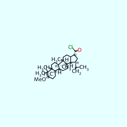 C=C(C)[C@@H]1C[C@@H](C(=O)Cl)C2CC[C@]3(C)[C@H](CC[C@@H]4[C@@]5(C)CC[C@H](OC)C(C)(C)[C@@H]5CC[C@]43C)[C@H]21